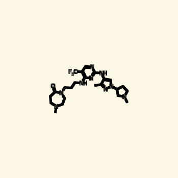 Cc1nn(C2CCN(C)C2)cc1Nc1ncc(C(F)(F)F)c(NCCCN2CCN(C)CCC2=O)n1